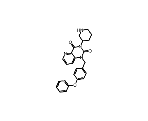 O=c1c2ncccc2n(Cc2ccc(Oc3ccccc3)cc2)c(=O)n1C1CCCNC1